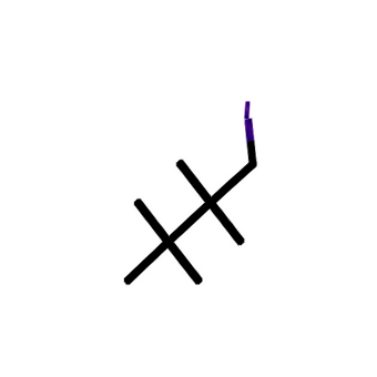 CC(C)(C)C(C)(C)CI